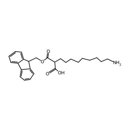 NCCCCCCCCCC(C(=O)O)C(=O)OCC1c2ccccc2-c2ccccc21